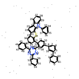 c1ccc(-c2cccc(-c3ccc(-c4cccc5c4sc4c5ccc5c6ccccc6n(-c6ccccc6)c54)c(-c4nc(-c5ccccc5)nc(-c5ccccc5)n4)c3)c2)cc1